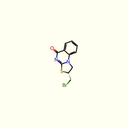 O=c1nc2n(c3ccccc13)C[C@H](CBr)S2